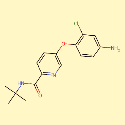 CC(C)(C)NC(=O)c1ccc(Oc2ccc(N)cc2Cl)cn1